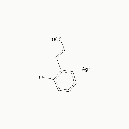 O=C([O-])C=Cc1ccccc1Cl.[Ag+]